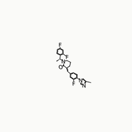 Cc1cn(-c2ccc(/C=C3\CCCN([C@@H](C)c4ccc(F)cc4F)C3=O)cc2F)cn1